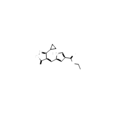 CCOC(=O)c1c[nH]c(C=C2C(=O)NN=C2C2CC2)c1